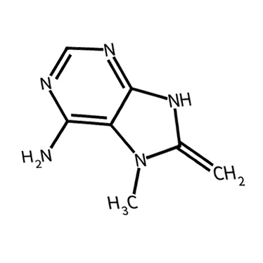 C=C1Nc2ncnc(N)c2N1C